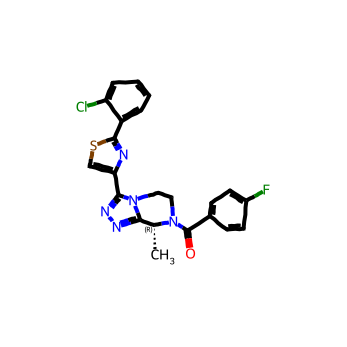 C[C@@H]1c2nnc(-c3csc(-c4ccccc4Cl)n3)n2CCN1C(=O)c1ccc(F)cc1